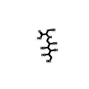 O=C(O)C(CO)NCC(O)C(O)C(O)C(O)CO